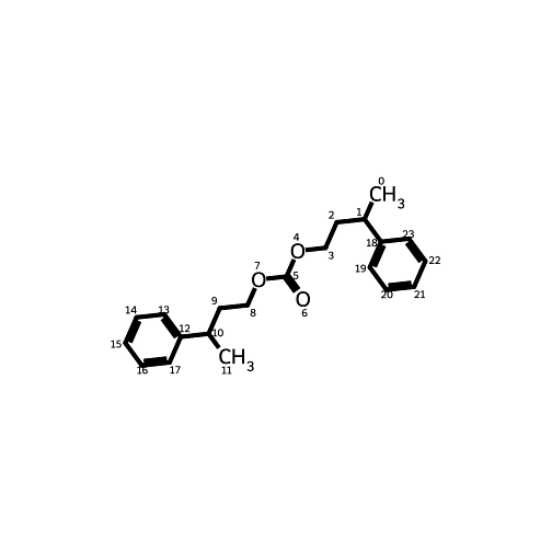 CC(CCOC(=O)OCCC(C)c1ccccc1)c1ccccc1